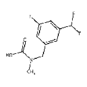 CN(Cc1cc(F)cc(C(F)F)c1)C(=O)O